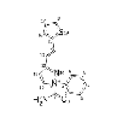 NC(=O)[N+]1(c2ccccc2)C=CC(C=Cc2cccs2)=N1